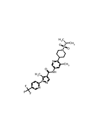 Cc1cc(NC(=O)c2cnn(-c3ccc(C(F)(F)F)cn3)c2C)cnc1C1CCN(S(=O)(=O)N(C)C)CC1